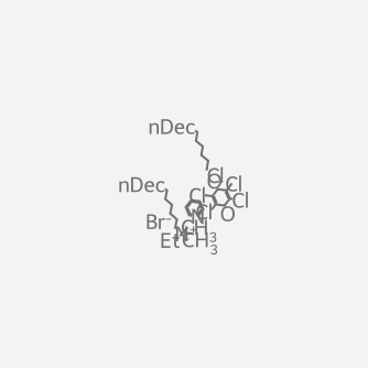 CCCCCCCCCCCCCCCCCl.CCCCCCCCCCCCCCCC[N+](C)(C)CC.O=C1C(Cl)=C(Cl)C(=O)C(Cl)=C1Cl.[Br-].c1ccncc1